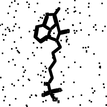 Cc1nc2cccc3n(CCCCCNS(=O)(=O)C(F)(F)F)c(=O)c1n23